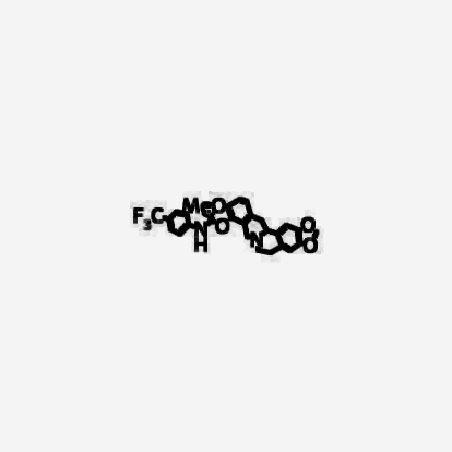 COc1ccc2c(c1OC(=O)Nc1ccc(C(F)(F)F)cc1)CN1CCc3cc4c(cc3C1C2)OCO4